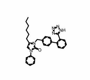 CCCCCCc1cn(-c2ccccc2)c(=O)n1Cc1ccc(-c2ccccc2-c2nnn[nH]2)cc1